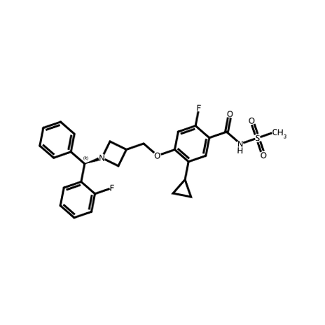 CS(=O)(=O)NC(=O)c1cc(C2CC2)c(OCC2CN([C@H](c3ccccc3)c3ccccc3F)C2)cc1F